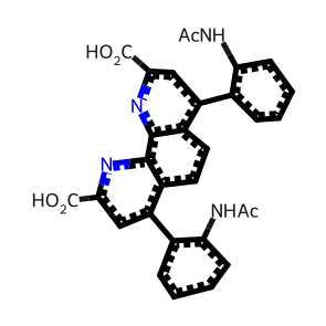 CC(=O)Nc1ccccc1-c1cc(C(=O)O)nc2c1ccc1c(-c3ccccc3NC(C)=O)cc(C(=O)O)nc12